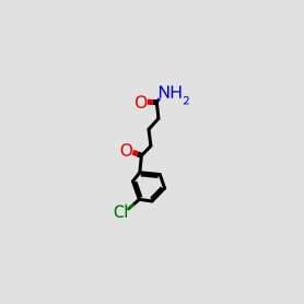 NC(=O)CCCC(=O)c1cccc(Cl)c1